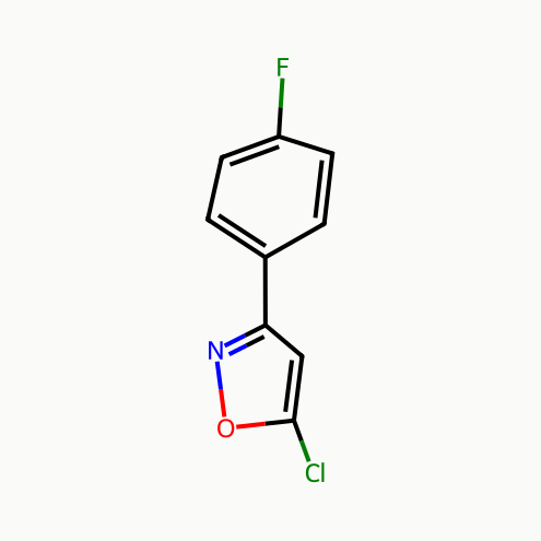 Fc1ccc(-c2cc(Cl)on2)cc1